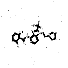 O=C(Nc1cccc2c1nc(C(F)(F)F)n2CCN1CCCC1)c1c(Cl)cccc1Cl